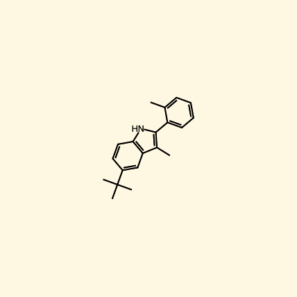 Cc1ccccc1-c1[nH]c2ccc(C(C)(C)C)cc2c1C